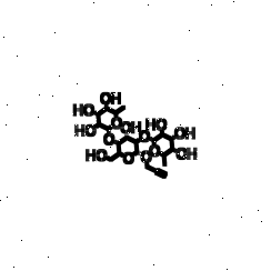 C#CCO[C@@H]1OC(CO)[C@@H](O[C@@H]2OC(C)[C@H](O)[C@H](O)C2O)[C@H](O)C1O[C@@H]1OC(C)[C@H](O)[C@H](O)C1O